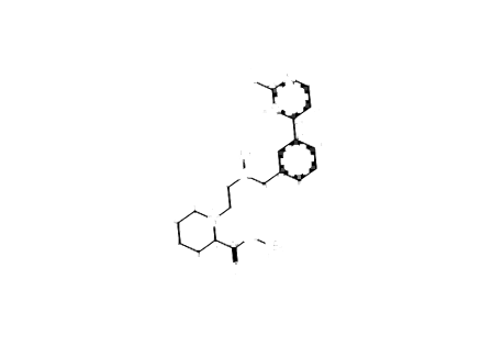 CCN(CCN1CCCCC1C(=O)OC(C)(C)C)Cc1cccc(-c2ccnc(Cl)n2)c1